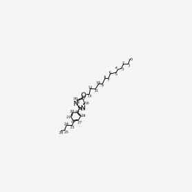 CCCCCCCCCCCCCCOc1cnc(-c2ccc(CCCC)cc2)nc1